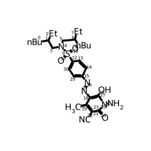 CCCCC(CC)CN(CC(CC)CCCC)S(=O)(=O)c1ccc(/N=N/c2c(C)c(C#N)c(=O)n(N)c2O)cc1